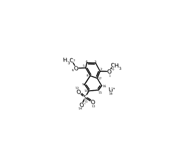 COc1ccc(OC)c2cc(S(=O)(=O)[O-])ccc12.[Li+]